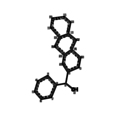 OC(c1ccccc1)c1ccc2cc3ccccc3cc2c1